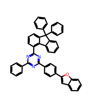 c1ccc(-c2nc(-c3ccc(-c4cc5ccccc5o4)cc3)nc(-c3cccc4c3-c3ccccc3C4(c3ccccc3)c3ccccc3)n2)cc1